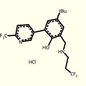 CC(C)(C)c1cc(CNCCC(F)(F)F)c(O)c(-c2ccc(C(F)(F)F)nc2)c1.Cl